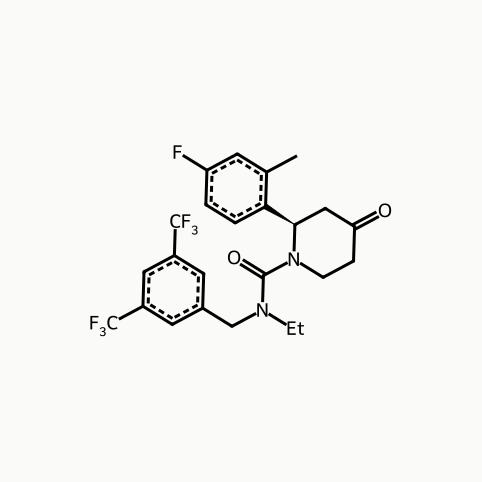 CCN(Cc1cc(C(F)(F)F)cc(C(F)(F)F)c1)C(=O)N1CCC(=O)C[C@@H]1c1ccc(F)cc1C